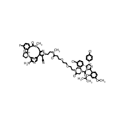 COc1ccc(C2=N[C@@H](c3ccc(Cl)cc3)[C@@H](c3ccc(Cl)cc3)N2C(=O)N2CCN(CCOCCOCCC(=O)N(C)CCn3nc4c(c3C#N)-c3cnc(N)c(n3)N3CCC[C@@H]3c3cc(F)ccc3C(=O)N(C)C4)C(=O)C2)c(OC(C)C)c1